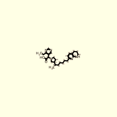 CCc1ncncc1C(C(=O)O)N1CCC(C(C)CCCCCc2ccc3c(n2)NCCC3)C1